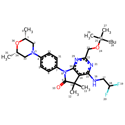 C[C@@H]1CN(c2ccc(N3C(=O)C(C)(C)c4c(NCC(F)F)nc(CO[Si](C)(C)C(C)(C)C)nc43)cc2)C[C@H](C)O1